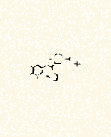 Cc1cc(-c2nn3c(c2-n2cc[nH]c2=O)CN(C(=O)OC(C)(C)C)CC3)cc(C)c1F